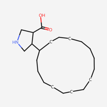 O=C(O)C1CNCC1C1CCCCCCCCCCCCCCC1